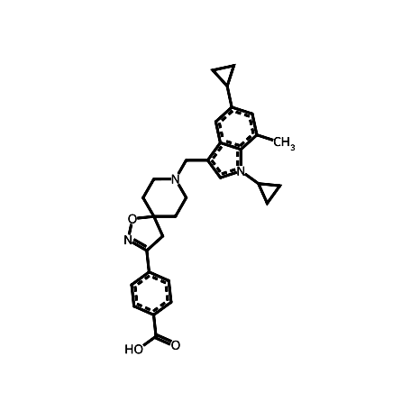 Cc1cc(C2CC2)cc2c(CN3CCC4(CC3)CC(c3ccc(C(=O)O)cc3)=NO4)cn(C3CC3)c12